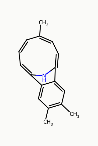 Cc1cccc2[nH]c(cc1)c1cc(C)c(C)cc21